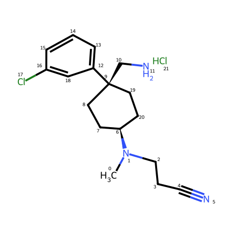 CN(CCC#N)[C@H]1CC[C@](CN)(c2cccc(Cl)c2)CC1.Cl